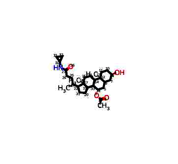 CC(=O)O[C@H]1CC2C[C@H](O)CC[C@]2(C)C2CC[C@@]3(C)C(CCC3[C@H](C)CCC(=O)NC3CC3)C21